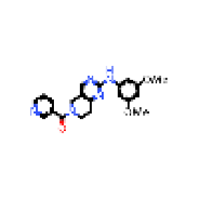 COc1cc(Nc2ncc3c(n2)CCN(C(=O)c2cccnc2)C3)cc(OC)c1